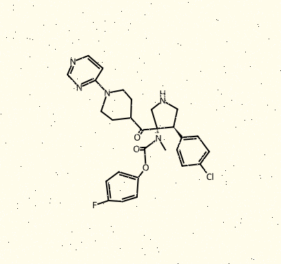 CN(C(=O)Oc1ccc(F)cc1)[C@]1(C(=O)C2CCN(c3ccncn3)CC2)CNC[C@H]1c1ccc(Cl)cc1